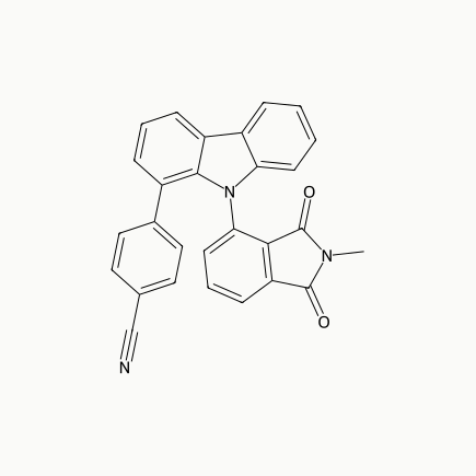 CN1C(=O)c2cccc(-n3c4ccccc4c4cccc(-c5ccc(C#N)cc5)c43)c2C1=O